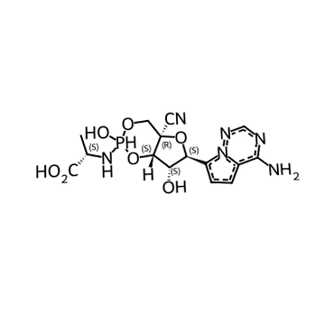 C[C@H](N[PH]1(O)OC[C@@]2(C#N)O[C@@H](c3ccc4c(N)ncnn34)[C@H](O)[C@@H]2O1)C(=O)O